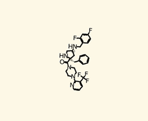 O=C(N1CCN(c2ncccc2C(F)(F)F)CC1)[C@]1(Cc2ccccc2)C[C@H](NCc2ccc(F)cc2F)CN1